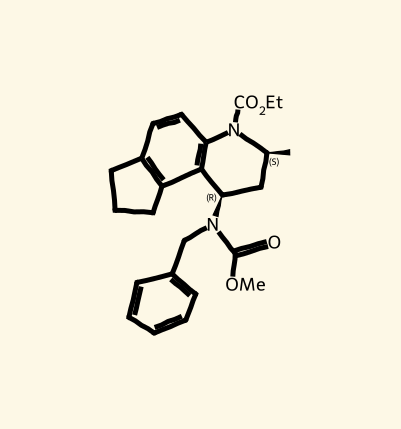 CCOC(=O)N1c2ccc3c(c2[C@H](N(Cc2ccccc2)C(=O)OC)C[C@@H]1C)CCC3